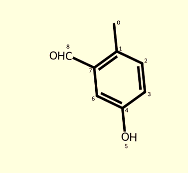 Cc1ccc(O)cc1C=O